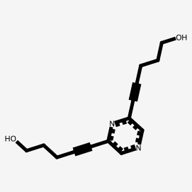 OCCCC#Cc1cncc(C#CCCCO)n1